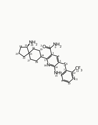 NC(=O)c1cc(Sc2cccnc2C(F)(F)F)c(N)nc1C1CCC2(CCC[C@H]2N)CC1